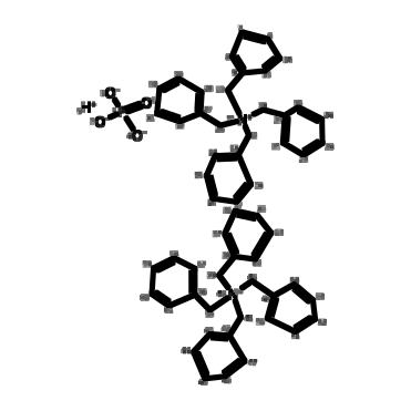 O=P([O-])([O-])[O-].[H+].c1ccc(C[N+](Cc2ccccc2)(Cc2ccccc2)Cc2ccccc2)cc1.c1ccc(C[N+](Cc2ccccc2)(Cc2ccccc2)Cc2ccccc2)cc1